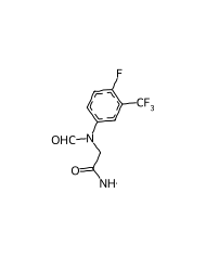 [NH]C(=O)CN(C=O)c1ccc(F)c(C(F)(F)F)c1